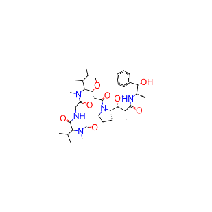 CCC(C)C([C@@H](CC(=O)N1CCC[C@H]1[C@H](OC)[C@@H](C)C(=O)N[C@H](C)[C@@H](O)c1ccccc1)OC)N(C)C(=O)CNC(=O)C(C(C)C)N(C)C=O